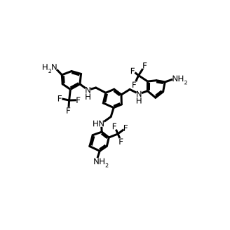 Nc1ccc(NCc2cc(CNc3ccc(N)cc3C(F)(F)F)cc(CNc3ccc(N)cc3C(F)(F)F)c2)c(C(F)(F)F)c1